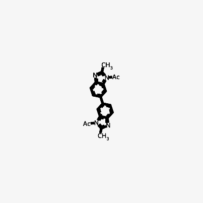 CC(=O)n1c(C)nc2ccc(-c3ccc4nc(C)n(C(C)=O)c4c3)cc21